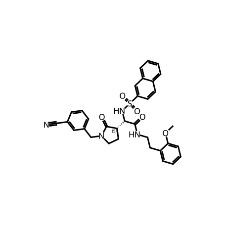 COc1ccccc1CCNC(=O)C(NS(=O)(=O)c1ccc2ccccc2c1)[C@@H]1CCN(Cc2cccc(C#N)c2)C1=O